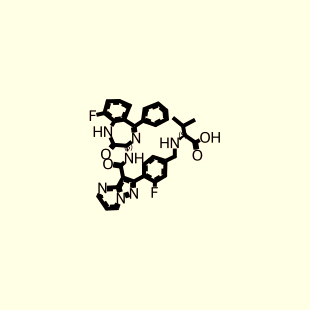 CC(C)[C@H](NCc1ccc(-c2nn3cccnc3c2C(=O)N[C@H]2N=C(c3ccccc3)c3cccc(F)c3NC2=O)c(F)c1)C(=O)O